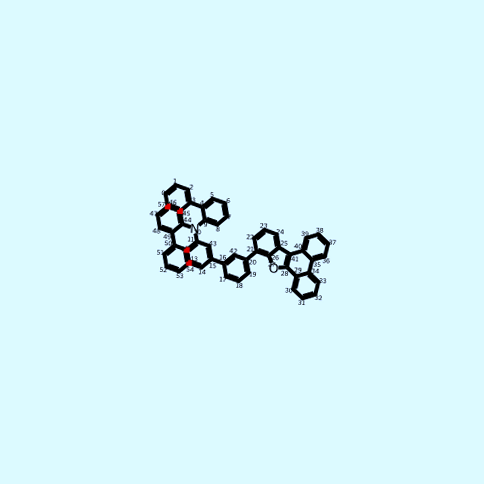 c1ccc(-c2ccccc2N(c2cccc(-c3cccc(-c4cccc5c4oc4c6ccccc6c6ccccc6c54)c3)c2)c2ccccc2-c2ccccc2)cc1